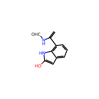 C=C(NC=O)c1cccc2cc(O)[nH]c12